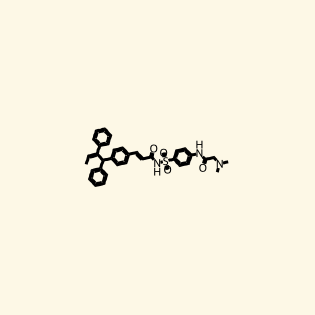 CC=C(c1ccccc1)C(c1ccccc1)c1ccc(C=CC(=O)NS(=O)(=O)c2ccc(NC(=O)CN(C)C)cc2)cc1